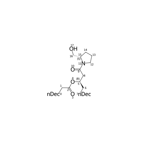 CCCCCCCCCCCC(=O)O[C@H](CCCCCCCCCCC)CC(=O)N1CCC[C@H]1CO